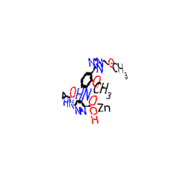 COCCn1cnc(-c2cccc(Nc3cc(NC(=O)C4CC4)nnc3C(=O)O)c2OC)n1.[Zn]